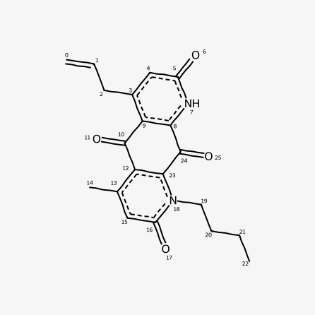 C=CCc1cc(=O)[nH]c2c1C(=O)c1c(C)cc(=O)n(CCCC)c1C2=O